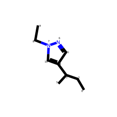 CCC(C)c1cnn(CC)c1